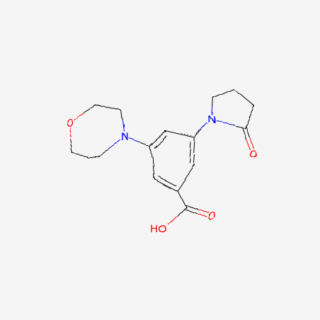 O=C(O)c1cc(N2CCOCC2)cc(N2CCCC2=O)c1